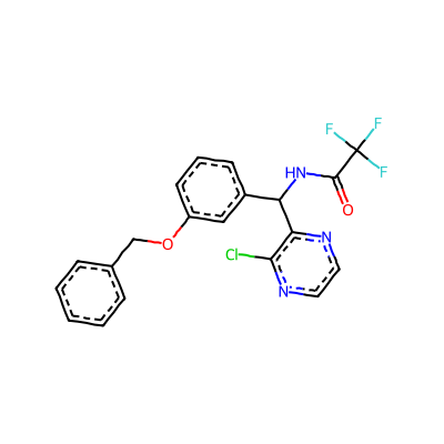 O=C(NC(c1cccc(OCc2ccccc2)c1)c1nccnc1Cl)C(F)(F)F